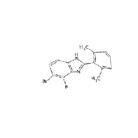 Cc1cccc(C)c1-c1nc2c(F)c(Br)ccc2[nH]1